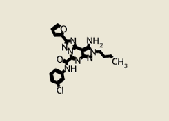 CCCCn1nc2nc(C(=O)Nc3cccc(Cl)c3)n3nc(-c4ccco4)nc3c2c1N